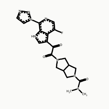 CN(C)C(=O)N1CC2CN(C(=O)C(=O)c3c[nH]c4c(-n5ccnn5)ncc(F)c34)CC2C1